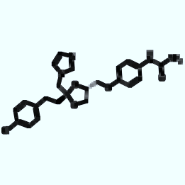 NC(=O)Nc1ccc(OC[C@@H]2CO[C@](CCc3ccc(Cl)cc3)(Cn3ccnc3)O2)cc1